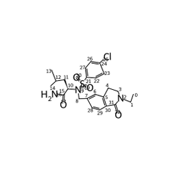 CCN1CCc2cc(CN([C@H](CC(C)C)C(N)=O)S(=O)(=O)c3ccc(Cl)cc3)ccc2C1=O